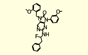 COc1cccc(-n2c(=O)n(Cc3ccccc3OC)c3cnc(NC(F)Cc4ccccc4)nc32)c1